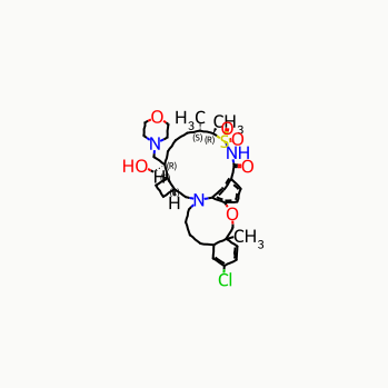 C[C@@H]1[C@@H](C)CCC[C@](CO)(CN2CCOCC2)[C@@H]2CC[C@H]2CN2CCCCC3C=C(Cl)C=CC3(C)COc3ccc(cc32)C(=O)NS1(=O)=O